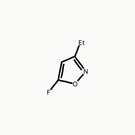 CCc1cc(F)on1